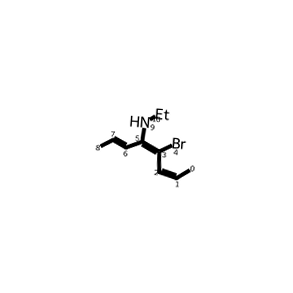 C\C=C/C(Br)=C(\C=C\C)NCC